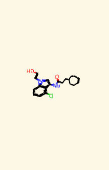 O=C(CCC1CCCCCC1)Nc1cn(CCO)c2cccc(Cl)c12